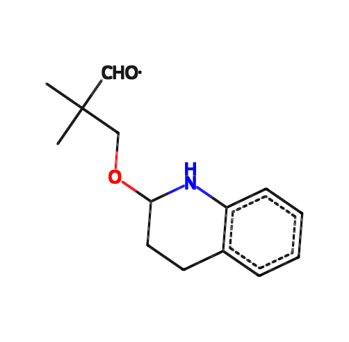 CC(C)([C]=O)COC1CCc2ccccc2N1